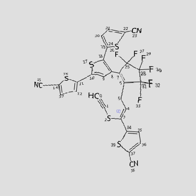 C#CS/C(=C\CC1=C(c2cc(-c3ccc(C#N)s3)sc2-c2ccc(C#N)s2)C(F)(F)C(F)(F)C1(F)F)c1ccc(C#N)s1